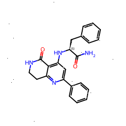 NC(=O)[C@H](Cc1ccccc1)Nc1cc(-c2ccccc2)nc2c1C(=O)NCC2